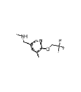 CNCc1cnc(OCC(F)(F)F)c(C)c1